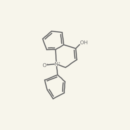 [O-][N+]1(c2ccccc2)CC=C(O)c2ccccc21